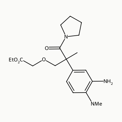 CCOC(=O)COCC(C)(C(=O)N1CCCC1)c1ccc(NC)c(N)c1